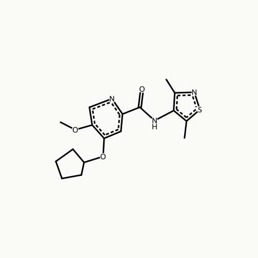 COc1cnc(C(=O)Nc2c(C)nsc2C)cc1OC1CCCC1